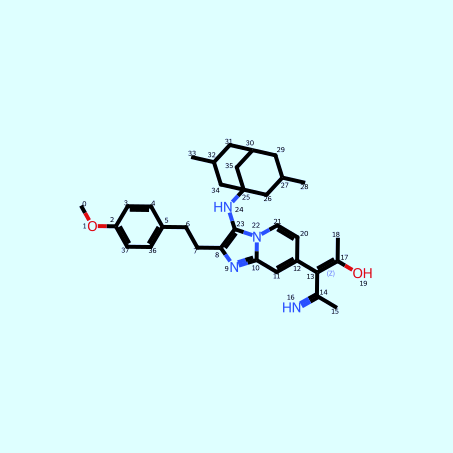 COc1ccc(CCc2nc3cc(/C(C(C)=N)=C(\C)O)ccn3c2NC23CC(C)CC(CC(C)C2)C3)cc1